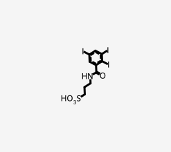 O=C(NCCCS(=O)(=O)O)c1cc(I)cc(I)c1I